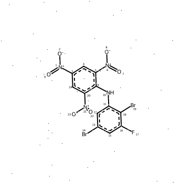 O=[N+]([O-])c1cc([N+](=O)[O-])c(Nc2cc(Br)cc(F)c2Br)c([N+](=O)[O-])c1